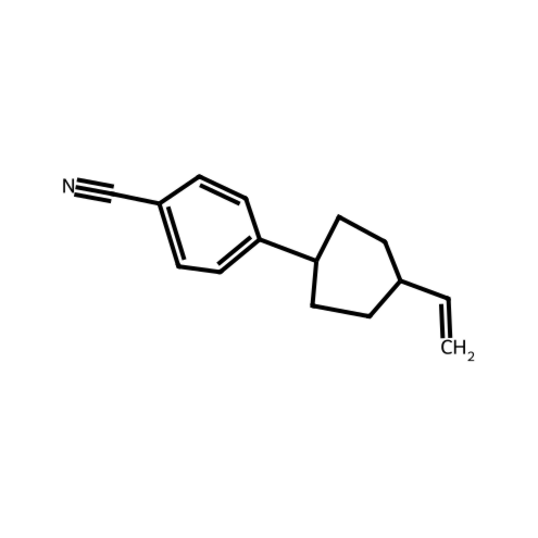 C=CC1CCC(c2ccc(C#N)cc2)CC1